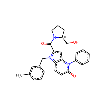 Cc1cccc(Cn2c(C(=O)N3CCC[C@H]3CO)cc3c2ccc(=O)n3-c2ccccc2)c1